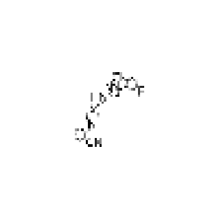 N#Cc1ccccc1CN1CCC2(CC1)CC2CNc1ccc(-c2cc(F)ccc2Cl)nn1